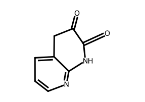 O=C1Cc2cccnc2NC1=O